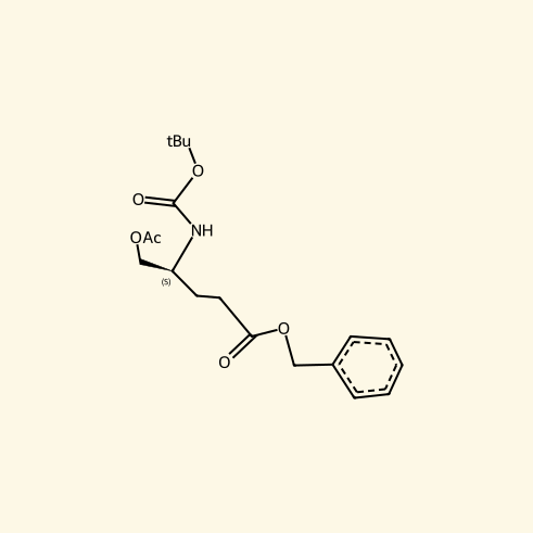 CC(=O)OC[C@H](CCC(=O)OCc1ccccc1)NC(=O)OC(C)(C)C